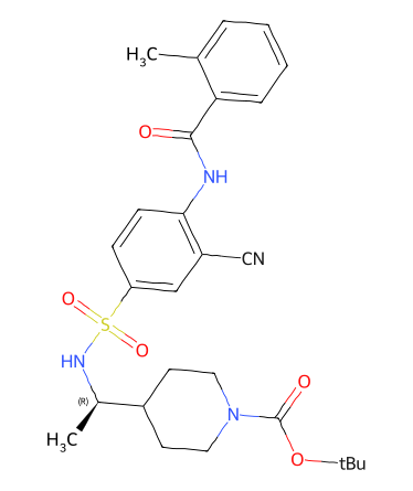 Cc1ccccc1C(=O)Nc1ccc(S(=O)(=O)N[C@H](C)C2CCN(C(=O)OC(C)(C)C)CC2)cc1C#N